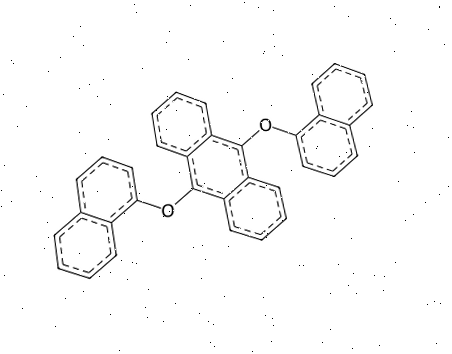 c1ccc2c(Oc3c4ccccc4c(Oc4cccc5ccccc45)c4ccccc34)cccc2c1